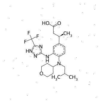 CC(C)CN(c1ccc([C@H](C)CC(=O)O)cc1Nc1n[nH]c(C(F)(F)F)n1)C1CCOCC1